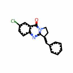 O=c1c2cc(Cl)ccc2nc2n1CC/C2=C\c1ccccc1